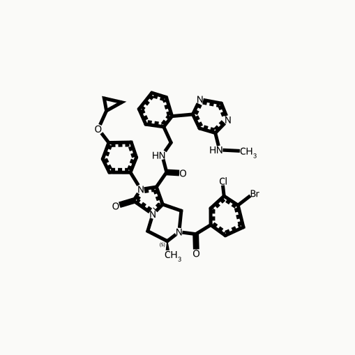 CNc1cc(-c2ccccc2CNC(=O)c2c3n(c(=O)n2-c2ccc(OC4CC4)cc2)C[C@H](C)N(C(=O)c2ccc(Br)c(Cl)c2)C3)ncn1